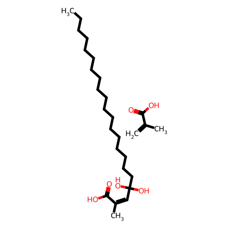 C=C(C)C(=O)O.CCCCCCCCCCCCCCCCCCC(O)(O)C=C(C)C(=O)O